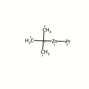 C[CH](C)[Zn][C](C)(C)C